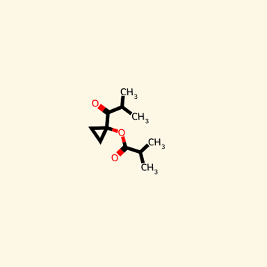 CC(C)C(=O)OC1(C(=O)C(C)C)CC1